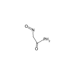 O=NCC(=O)P